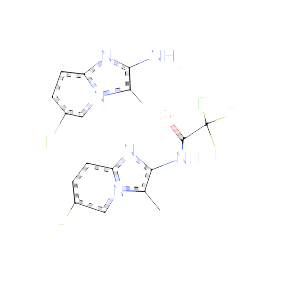 Cc1c(N)nc2ccc(F)cn12.Cc1c(NC(=O)C(F)(F)F)nc2ccc(F)cn12